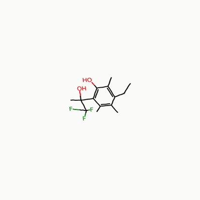 CCc1c(C)c(C)c(C(C)(O)C(F)(F)F)c(O)c1C